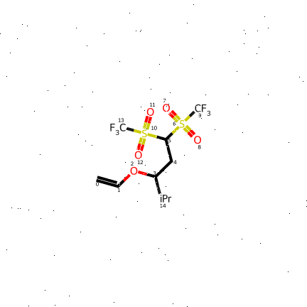 C=COC(CC(S(=O)(=O)C(F)(F)F)S(=O)(=O)C(F)(F)F)C(C)C